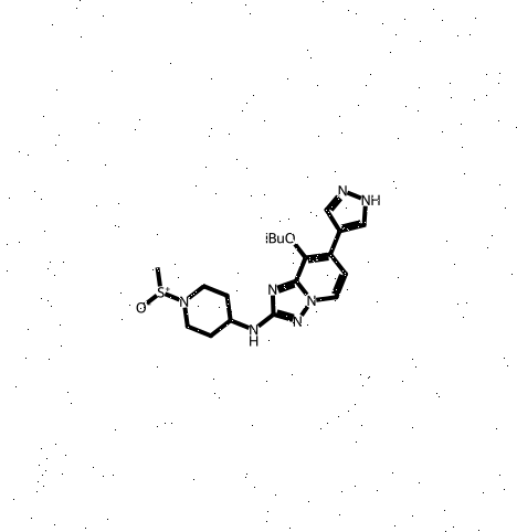 CC(C)COc1c(-c2cn[nH]c2)ccn2nc(NC3CCN([S+](C)[O-])CC3)nc12